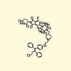 [2H]C1([2H])N(CC2CCN(CCOc3ccc(C(=C(CCCl)c4ccccc4)c4ccccc4)cc3)CC2)C([2H])([2H])C([2H])([2H])N(c2cc(F)c3c(c2)C(=O)N(C2CCC(=O)NC2=O)C3=O)C1([2H])[2H]